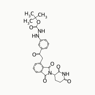 CC(C)(C)OC(=O)NNc1cccc(C(=O)Cc2cccc3c2C(=O)N(C2CCC(=O)NC2=O)C3=O)c1